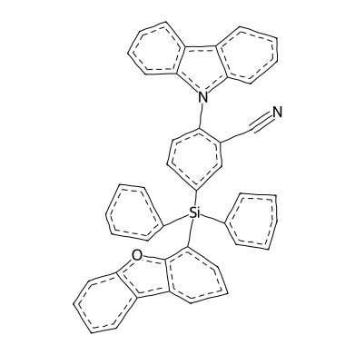 N#Cc1cc([Si](c2ccccc2)(c2ccccc2)c2cccc3c2oc2ccccc23)ccc1-n1c2ccccc2c2ccccc21